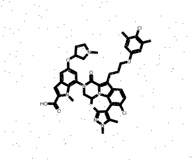 Cc1cc(OCCCc2c3n(c4c(-c5c(C)nn(C)c5C)c(Cl)ccc24)C(C)CN(c2cc(OC4CCN(C)C4)cc4cc(C(=O)O)n(C)c24)C3=O)cc(C)c1Cl